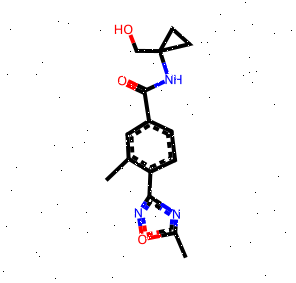 Cc1nc(-c2ccc(C(=O)NC3(CO)CC3)cc2C)no1